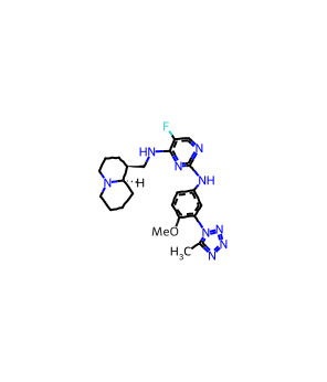 COc1ccc(Nc2ncc(F)c(NC[C@@H]3CCCN4CCCC[C@H]34)n2)cc1-n1nnnc1C